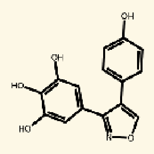 Oc1ccc(-c2conc2-c2cc(O)c(O)c(O)c2)cc1